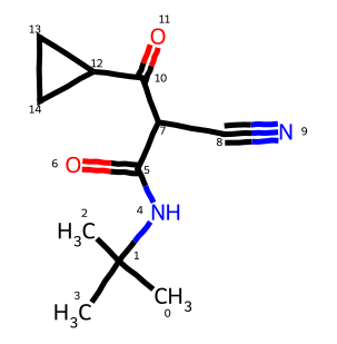 CC(C)(C)NC(=O)C(C#N)C(=O)C1CC1